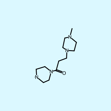 CN1CCN(CCC(=O)N2CC[N]CC2)CC1